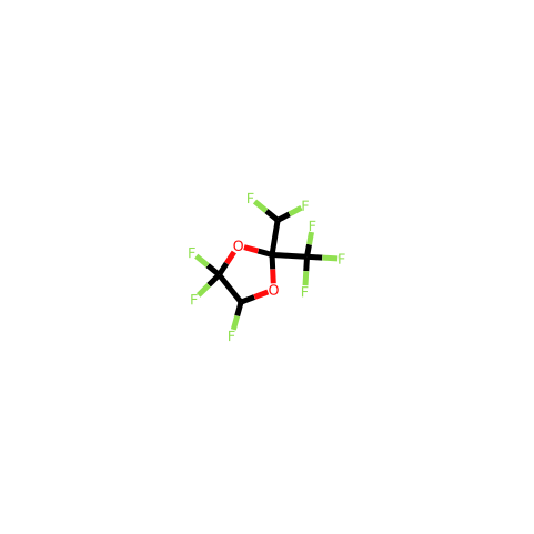 FC1OC(C(F)F)(C(F)(F)F)OC1(F)F